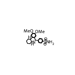 COc1cc2c(cc1OC)[C@@H]1CCCC[C@@H]1N=C2c1ccc(S(N)(=O)=O)cc1